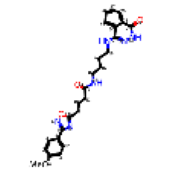 COc1ccc(-c2noc(CCCC(=O)NCCCCNc3n[nH]c(=O)c4ccccc34)n2)cc1